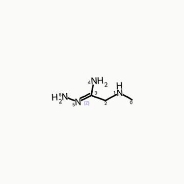 CNC/C(N)=N/N